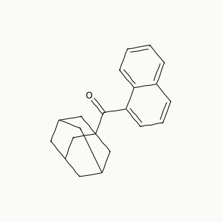 O=C(c1cccc2ccccc12)C12CC3CC(CC(C3)C1)C2